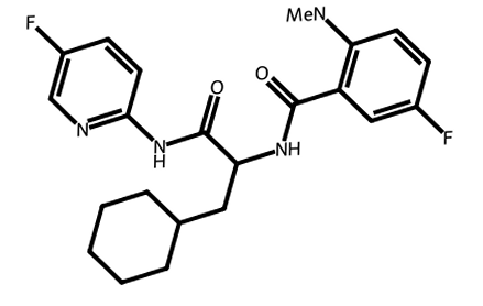 CNc1ccc(F)cc1C(=O)NC(CC1CCCCC1)C(=O)Nc1ccc(F)cn1